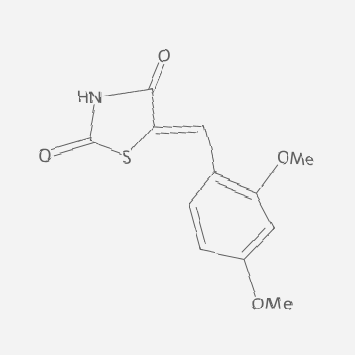 COc1ccc(/C=C2\SC(=O)NC2=O)c(OC)c1